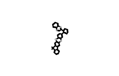 CC1(C)c2ccccc2-c2cc3c(cc21)Oc1ccc(-c2ccccc2-c2cnc4ccccc4n2)cc1O3